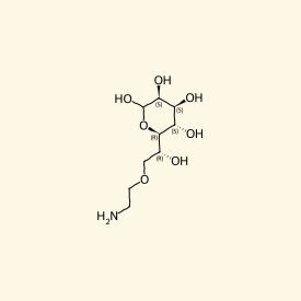 NCCOC[C@@H](O)[C@H]1OC(O)[C@@H](O)[C@@H](O)[C@@H]1O